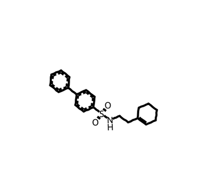 O=S(=O)(NCCC1=CCCCC1)c1ccc(-c2ccccc2)cc1